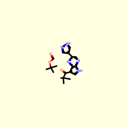 CC(C)(C)C(=O)c1c[nH]c2ncc(-c3cn[nH]c3)nc12.CC(C)(C)OC=O